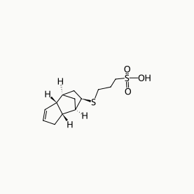 O=S(=O)(O)CCCS[C@@H]1C[C@H]2C[C@@H]1[C@@H]1CC=C[C@H]21